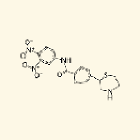 O=C(Nc1ccc([N+](=O)[O-])c([N+](=O)[O-])c1)c1ccc(C2CNCCS2)cc1